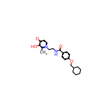 Cc1c(O)c(=O)ccn1CCNC(=O)c1ccc(OCC2CCCCC2)cc1